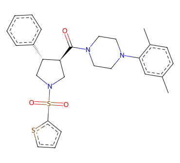 Cc1ccc(C)c(N2CCN(C(=O)[C@H]3CN(S(=O)(=O)c4cccs4)C[C@@H]3c3ccccc3)CC2)c1